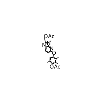 CC(=O)OCc1nc2ccc(Oc3cc(C)c(OC(C)=O)c(C)c3C)nc2n1C